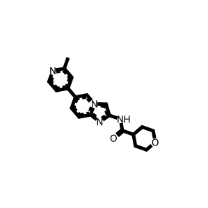 Cc1cc(-c2ccc3nc(NC(=O)C4CCOCC4)cn3c2)ccn1